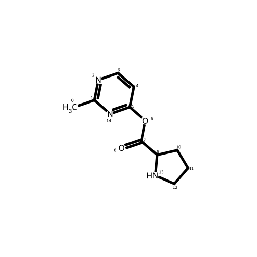 Cc1nccc(OC(=O)C2CCCN2)n1